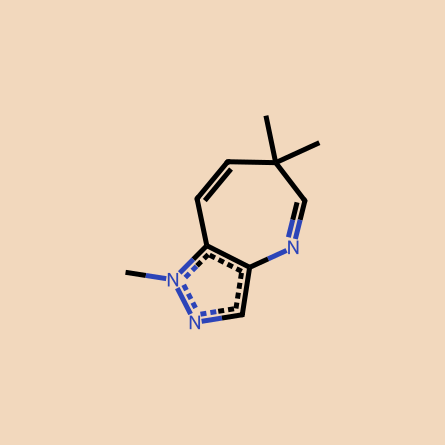 Cn1ncc2c1C=CC(C)(C)C=N2